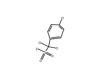 O=S(=O)(Cl)C(Cl)(Cl)c1ccc(Cl)cc1